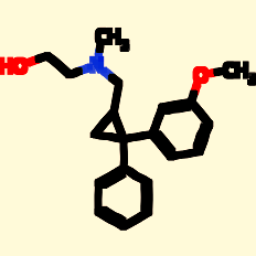 COc1cccc(C2(c3ccccc3)CC2CN(C)CCO)c1